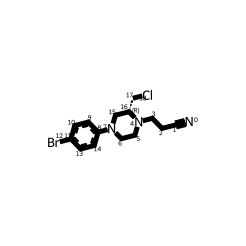 N#CCCN1CCN(c2ccc(Br)cc2)C[C@@H]1CCl